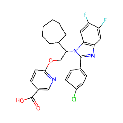 O=C(O)c1ccc(OCC(C2CCCCCC2)n2c(-c3ccc(Cl)cc3)nc3cc(F)c(F)cc32)nc1